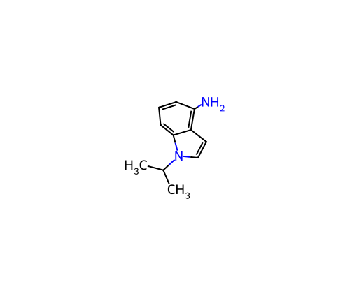 CC(C)n1ccc2c(N)cccc21